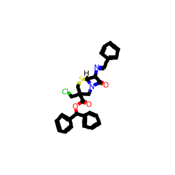 O=C1C(N=Cc2ccccc2)[C@H]2SCC(CCl)(C(=O)OC(c3ccccc3)c3ccccc3)CN12